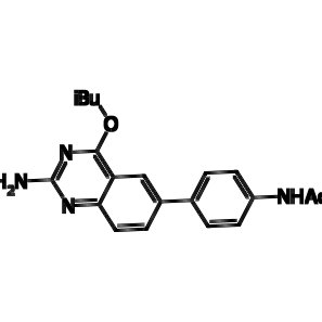 CCC(C)Oc1nc(N)nc2ccc(-c3ccc(NC(C)=O)cc3)cc12